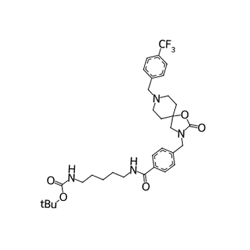 CC(C)(C)OC(=O)NCCCCCNC(=O)c1ccc(CN2CC3(CCN(Cc4ccc(C(F)(F)F)cc4)CC3)OC2=O)cc1